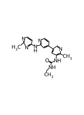 CCNC(=O)Nc1cc(-c2ccnc(Nc3ccnc(C)n3)c2)cnc1C